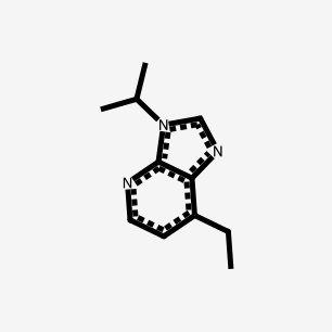 CCc1ccnc2c1ncn2C(C)C